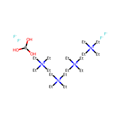 CC[N+](CC)(CC)CC.CC[N+](CC)(CC)CC.CC[N+](CC)(CC)CC.CC[N+](CC)(CC)CC.OB(O)O.[F-].[F-].[F-].[F-]